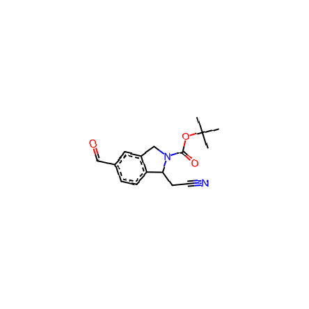 CC(C)(C)OC(=O)N1Cc2cc(C=O)ccc2C1CC#N